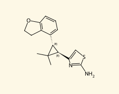 CC1(C)[C@H](c2csc(N)n2)[C@H]1c1cccc2c1CCO2